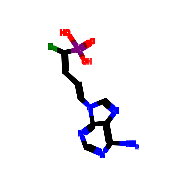 Nc1ncnc2c1ncn2C=CC=C(F)P(=O)(O)O